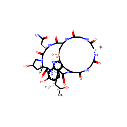 CC[C@H](C)[C@@H]1NC(=O)CNC(=O)C2Cc3c([nH]c4cc(O)ccc34)[S@+]([O-])CC(NC(=O)CNC1=O)C(=O)N[C@@H](CC(N)=O)C(=O)N1CC(O)C[C@H]1C(=O)N[C@@H]([C@@H](C)[C@H](C)O)C(=O)N2